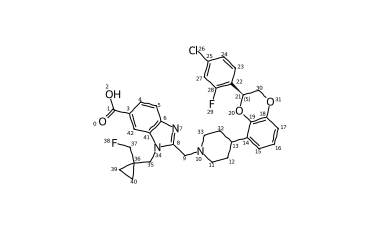 O=C(O)c1ccc2nc(CN3CCC(c4cccc5c4O[C@@H](c4ccc(Cl)cc4F)CO5)CC3)n(CC3(CF)CC3)c2c1